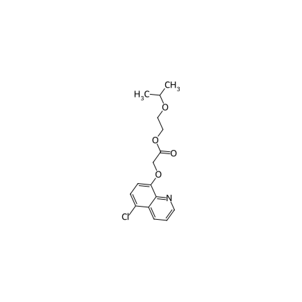 CC(C)OCCOC(=O)COc1ccc(Cl)c2cccnc12